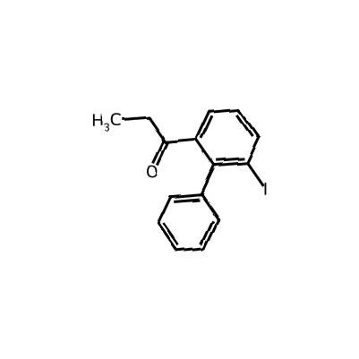 CCC(=O)c1cccc(I)c1-c1ccccc1